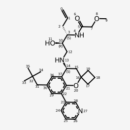 C=CC[C@H](NC(=O)COC)[C@H](O)CN[C@H]1CC2(CCC2)Oc2c(-c3cccnc3)cc(CC(C)(C)C)cc21